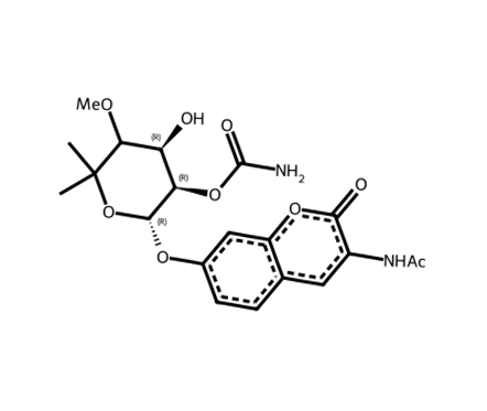 COC1[C@@H](O)[C@@H](OC(N)=O)[C@H](Oc2ccc3cc(NC(C)=O)c(=O)oc3c2)OC1(C)C